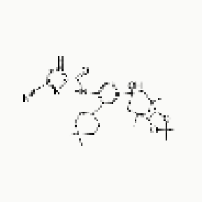 CC1(C)CC=C(c2cc(C3(O)CC4(C)CC(C)(C3)C3OC(C)(C)OC34)ccc2NC(=O)c2nc(C#N)c[nH]2)CC1